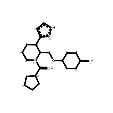 CC(C)C1CCC(OCC2C(c3cc[nH]n3)CCCN2C(=O)C2CCCC2)CC1